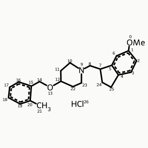 COc1ccc2c(c1)C(CN1CCC(OCc3ccccc3C)CC1)CC2.Cl